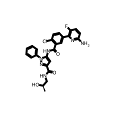 C[C@@H](O)CNC(=O)c1cc(NC(=O)c2cc(-c3nc(N)ccc3F)ccc2Cl)n(-c2ccccc2)n1